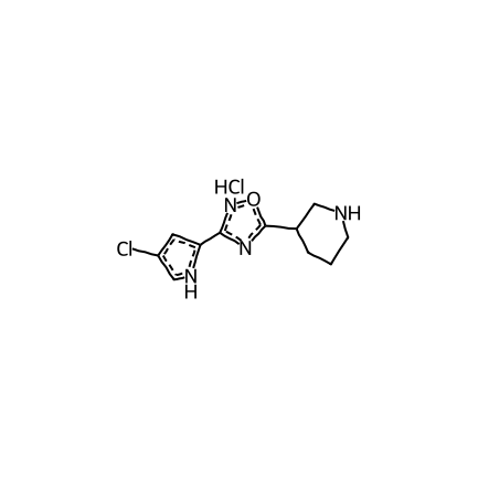 Cl.Clc1c[nH]c(-c2noc(C3CCCNC3)n2)c1